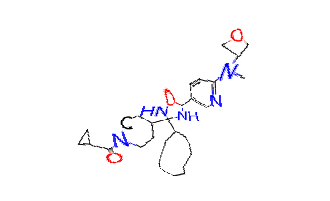 CN(c1ccc(C2NC(C3CCCCCC3)(C3CCN(C(=O)C4CC4)CC3)NO2)cn1)C1COC1